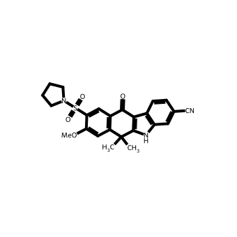 COc1cc2c(cc1S(=O)(=O)N1CCCC1)C(=O)c1c([nH]c3cc(C#N)ccc13)C2(C)C